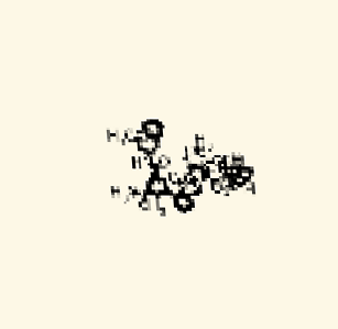 COc1c(CN2O[C@@H](CO)[C@@H]([C@H](C)O)[C@H]2C(=O)N[C@H]2C[C@H]3C[C@@H]([C@@H]2C)C3(C)C)cccc1-c1cc(C(=O)N[C@H](Cc2ccccc2)CC(C)C)cc(N(C)C)c1